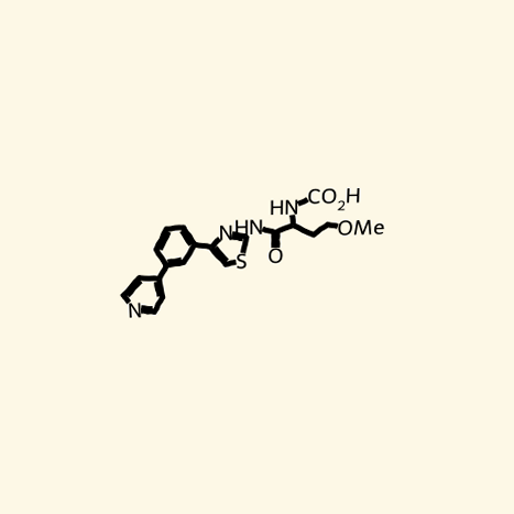 COCCC(NC(=O)O)C(=O)Nc1nc(-c2cccc(-c3ccncc3)c2)cs1